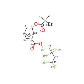 CCC(C)(C)C(=O)OC1CC2CC(C(=O)OCCC(F)(F)CC(F)F)C1C2